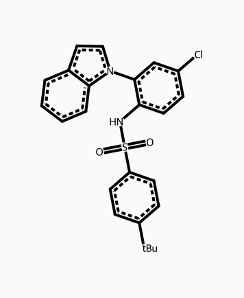 CC(C)(C)c1ccc(S(=O)(=O)Nc2ccc(Cl)cc2-n2ccc3ccccc32)cc1